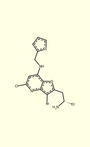 CC[C@H](N)Cc1oc2c(NCc3cccs3)cc(Cl)nc2c1Br